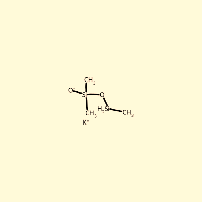 C[SiH2]O[Si](C)(C)[O-].[K+]